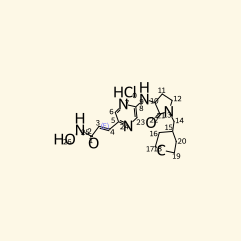 Cl.O=C(/C=C/c1cnc(NC2CCN(CC3CCCCC3)C2=O)cn1)NO